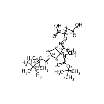 CN(C(=O)OC(C)(C)C)[C@@]1(/C(N)=N/O/C(=C\C(=O)O)C(=O)O)CC[C@H](CO[Si](C)(C)C(C)(C)C)C1